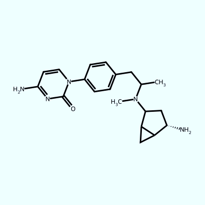 CC(Cc1ccc(-n2ccc(N)nc2=O)cc1)N(C)C1C[C@H](N)C2CC21